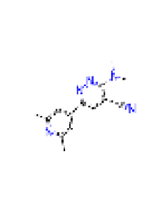 Cc1cc(-c2cc(C#N)c(N(C)C)nn2)cc(C)n1